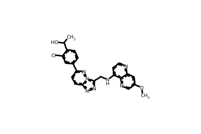 COc1cnc2c(NCc3nnc4ccc(-c5ccc(C(C)O)c(Cl)c5)nn34)ccnc2c1